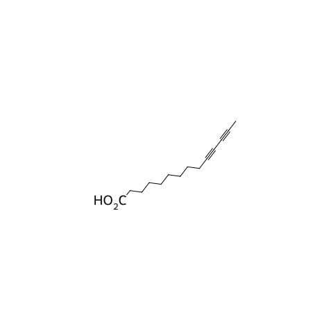 CC#CC#CCCCCCCCCC(=O)O